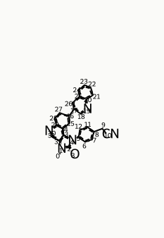 Cn1c(=O)n(-c2ccc(CC#N)cc2)c2c3cc(-c4cnc5ccccc5c4)ccc3ncc21